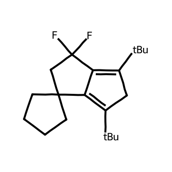 CC(C)(C)C1=C2C(=C(C(C)(C)C)C1)C1(CCCC1)CC2(F)F